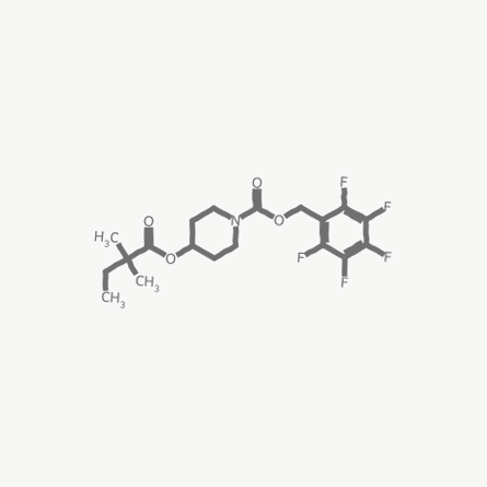 CCC(C)(C)C(=O)OC1CCN(C(=O)OCc2c(F)c(F)c(F)c(F)c2F)CC1